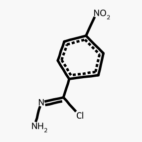 NN=C(Cl)c1ccc([N+](=O)[O-])cc1